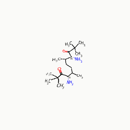 CC(CCC(C)[C@@H](N)C(=O)C(C)(C)C)[C@H](N)C(=O)C(C)(C)C